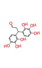 O=CCC(c1ccc(O)c(O)c1O)c1ccc(O)c(O)c1O